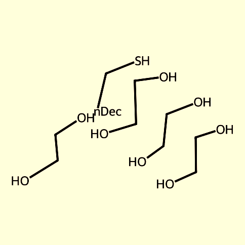 CCCCCCCCCCCS.OCCO.OCCO.OCCO.OCCO